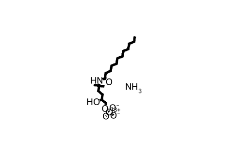 CCCCCCCCCCCC(=O)NC(C)(C)CCC(O)CO[Cl+3]([O-])([O-])[O-].N